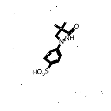 CC1(C)CN(c2ccc(S(=O)(=O)O)cc2)NC1=O